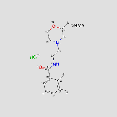 CNCC1CN(CCNC(=O)c2cccc(C)c2C)CCO1.Cl